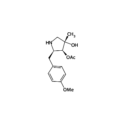 COc1ccc(C[C@H]2NC[C@](C)(O)[C@H]2OC(C)=O)cc1